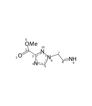 COC(=O)c1ncn(CC=N)n1